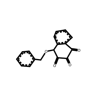 O=C1C(=O)c2ccccc2C(OCc2ccccc2)C1=O